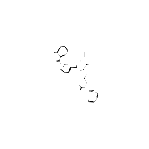 [CH2]c1ccccc1C(=O)N1C=CC=C(C(=O)N[C@@H](CCCN(C(C)=O)C2=CC=CC=CN2)C(=O)O)C1